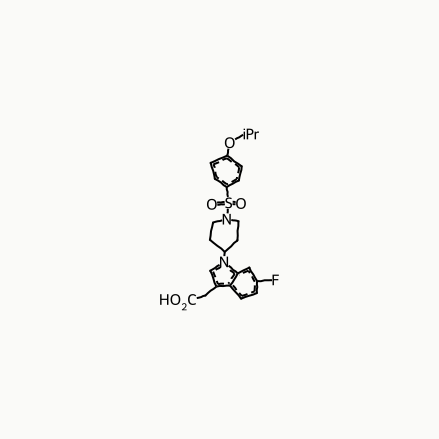 CC(C)Oc1ccc(S(=O)(=O)N2CCC(n3cc(CC(=O)O)c4ccc(F)cc43)CC2)cc1